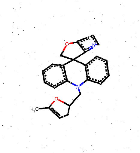 CC1=CCC(CN2c3ccccc3C3(COc4cccnc43)c3ccccc32)O1